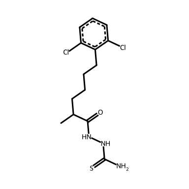 CC(CCCCc1c(Cl)cccc1Cl)C(=O)NNC(N)=S